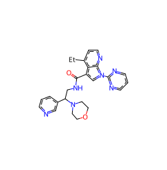 CCc1ccnc2c1c(C(=O)NCC(c1cccnc1)N1CCOCC1)cn2-c1ncccn1